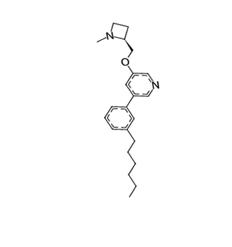 CCCCCCc1cccc(-c2cncc(OC[C@@H]3CCN3C)c2)c1